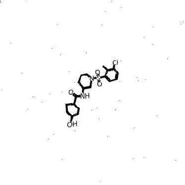 Cc1c(Cl)cccc1S(=O)(=O)N1CCCC(NC(=O)C2CCC(O)CC2)C1